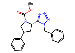 CC(C)(C)OC(=O)N1CC(c2ccccc2)C[C@H]1c1nnnn1Cc1ccccc1